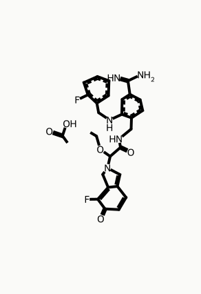 CC(=O)O.CCOC(C(=O)NCc1ccc(C(=N)N)cc1NCc1ccccc1F)N1C=C2C=CC(=O)C(F)=C2C1